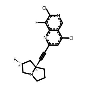 Fc1c(Cl)ncc2c(Cl)cc(C#C[C@@]34CCCN3C[C@H](F)C4)nc12